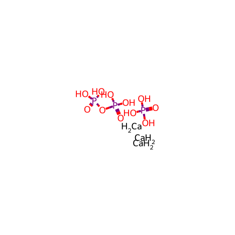 O=P(O)(O)O.O=P(O)(O)OP(=O)(O)O.[CaH2].[CaH2].[CaH2]